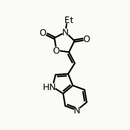 CCN1C(=O)O/C(=C\c2c[nH]c3cnccc23)C1=O